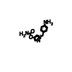 NC(=O)Oc1cnn(Cc2ccc(N)cc2)c1